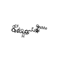 CNC(=O)c1cn(C[C@H](F)CCc2ccc(NC(=O)Cc3cn(C4(C)C=C(OC(F)(F)F)C=CC4)cn3)nn2)nn1